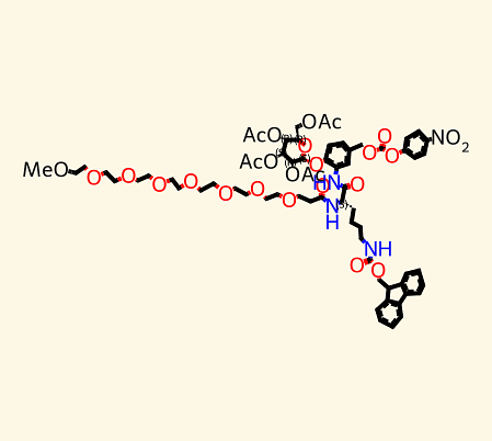 COCCOCCOCCOCCOCCOCCOCCOCCC(=O)N[C@@H](CCCCNC(=O)OCC1c2ccccc2-c2ccccc21)C(=O)Nc1cc(COC(=O)Oc2ccc([N+](=O)[O-])cc2)ccc1O[C@@H]1O[C@H](COC(C)=O)[C@@H](OC(C)=O)[C@H](OC(C)=O)[C@H]1OC(C)=O